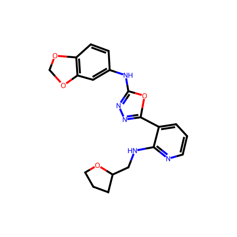 c1cnc(NCC2CCCO2)c(-c2nnc(Nc3ccc4c(c3)OCO4)o2)c1